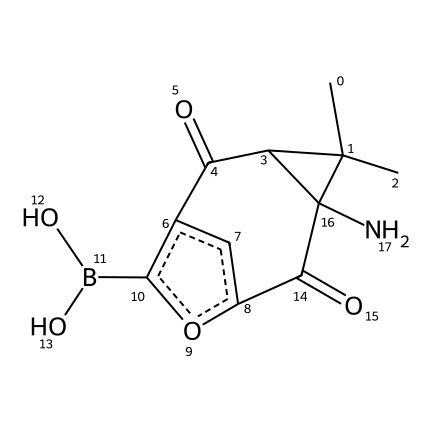 CC1(C)C2C(=O)c3cc(oc3B(O)O)C(=O)C21N